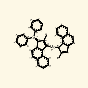 CC1=Cc2ccc3ccccc3c2[CH]1[Mg][C]1=C(C)C(=[Si](c2ccccc2)c2ccccc2)c2ccc3ccccc3c21